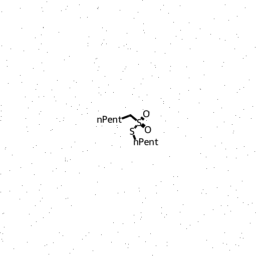 CCCCCCS(=O)(=O)SCCCCC